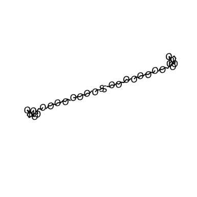 O=C(CCOCCOCCOCCOCCOCCOCCOCCOCCSSCCOCCOCCOCCOCCOCCOCCOCCOCCC(=O)ON1C(=O)CCC1=O)ON1C(=O)CCC1=O